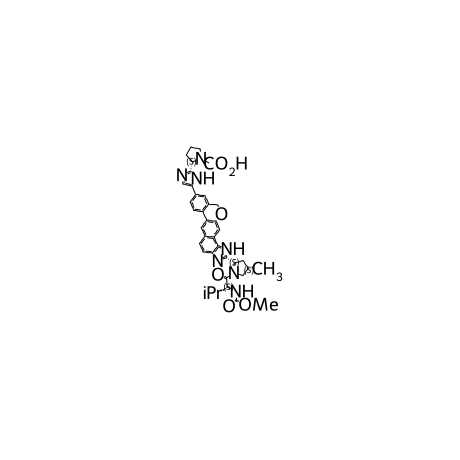 COC(=O)N[C@H](C(=O)N1C[C@@H](C)C[C@H]1c1nc2ccc3cc4c(cc3c2[nH]1)OCc1cc(-c2cnc([C@@H]3CCCN3C(=O)O)[nH]2)ccc1-4)C(C)C